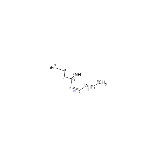 CPN/C=C\C(=N)CCC(C)C